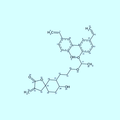 C=Cc1ccc(O)c(-c2cc(C=C)ccc2OC(C)OCCCC2CC3(CCC2O)CC(=C)C(=O)O3)c1